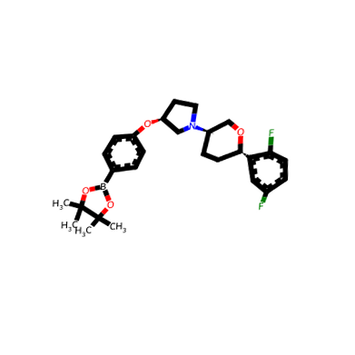 CC1(C)OB(c2ccc(O[C@H]3CCN([C@@H]4CC[C@@H](c5cc(F)ccc5F)OC4)C3)cc2)OC1(C)C